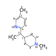 Cc1ccc(C(C)C2CCN(C)CC2)nc1